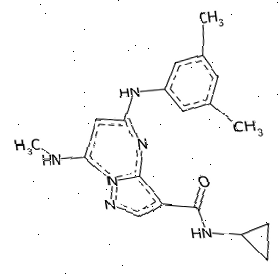 CNc1cc(Nc2cc(C)cc(C)c2)nc2c(C(=O)NC3CC3)cnn12